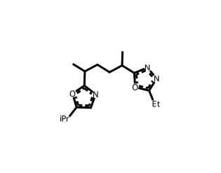 CCc1nnc(C(C)CCC(C)c2ncc(C(C)C)o2)o1